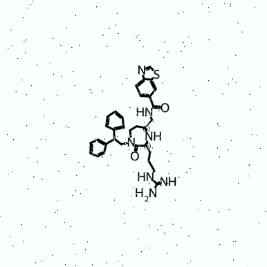 N=C(N)NCCC[C@@H]1N[C@H](CNC(=O)c2ccc3ncsc3c2)CCN(CC(c2ccccc2)c2ccccc2)C1=O